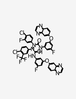 O=C(Nc1cc(F)cc(Oc2ccc3nccnc3c2)c1)N(c1ccc(Cl)c(F)c1)N(C(=O)Nc1cc(F)cc(Oc2ccc3nccnc3c2)c1)c1ccc(Cl)c(C(F)(F)F)c1